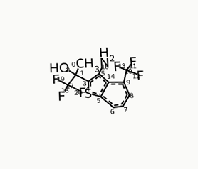 CC(O)(c1sc2cccc(C(F)(F)F)c2c1N)C(F)(F)F